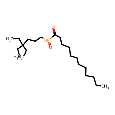 CCCCCCCCCCCC(=O)[PH](=O)CCCC(CC)(CC)CC